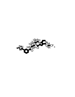 [2H]C([2H])(NC(=O)c1cccc(-c2nnn(C)n2)c1)C([2H])([2H])N1C(=O)c2cc3c(OC([2H])([2H])C(F)(F)F)nccc3n2C([2H])([2H])C1([2H])[2H]